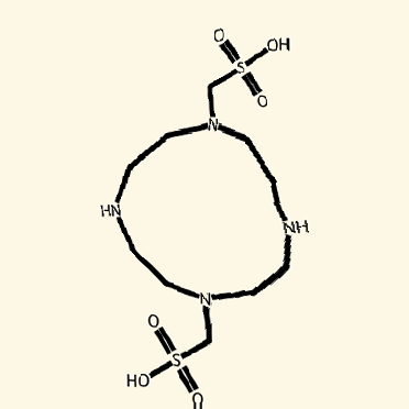 O=S(=O)(O)CN1CCNCCN(CS(=O)(=O)O)CCNCC1